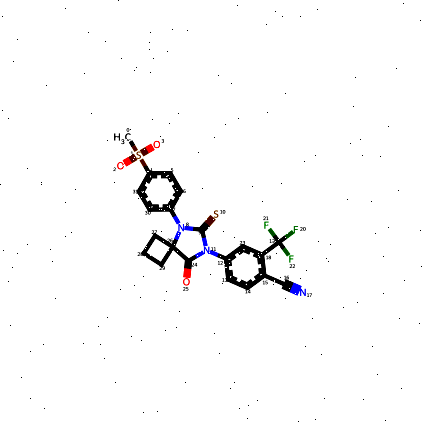 CS(=O)(=O)c1ccc(N2C(=S)N(c3ccc(C#N)c(C(F)(F)F)c3)C(=O)C23CCC3)cc1